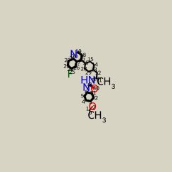 CCOc1ccc2nc(NC(C)CC3CCC(c4ccnc5ccc(F)cc45)CC3)oc2c1